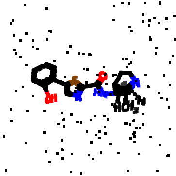 C[C@H]1[C@H](NC(=O)c2ncc(-c3ccccc3O)s2)C2CCN1CC2